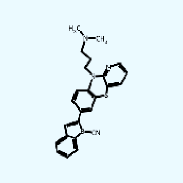 CN(C)CCCN1c2ccc(C3=Cc4ccccc4B3C#N)cc2Sc2cccnc21